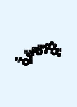 CC(N)(CC(=O)Nc1cccc(C(F)(F)F)c1)c1cccc(NC2=CC(=O)N(C3CCC(=O)NC3=O)C2=O)c1